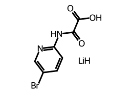 O=C(O)C(=O)Nc1ccc(Br)cn1.[LiH]